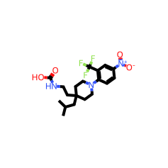 CC(C)CC1(CCNC(=O)O)CCN(c2ccc([N+](=O)[O-])cc2C(F)(F)F)CC1